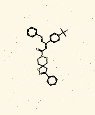 CC(C)(C)c1ccc(C(/C=C/c2ccccc2)=C/C(=O)N2CCC3(CC2)CC(c2ccccc2)=NO3)cc1